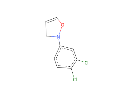 Clc1ccc(N2CC=CO2)cc1Cl